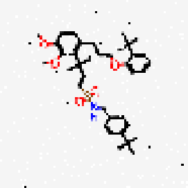 COc1ccc(CCCOc2ccccc2C(C)(C)C)c(C(C)(C)CCS(=O)(=O)NCc2ccc(C(C)(C)C)cc2)c1OC